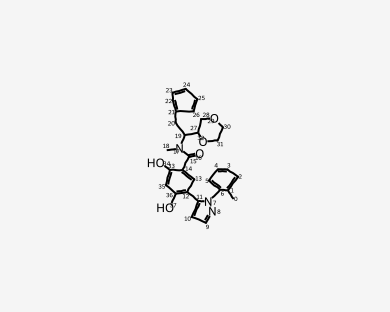 Cc1ccccc1-n1nccc1-c1cc(C(=O)N(C)C(Cc2ccccc2)C2COCCO2)c(O)cc1O